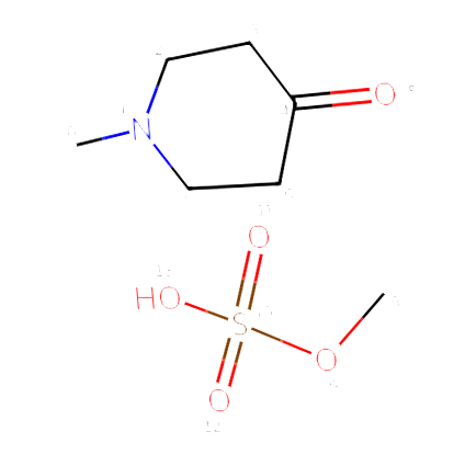 CN1CCC(=O)CC1.COS(=O)(=O)O